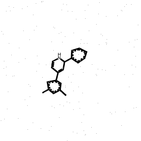 Cc1cc(C)cc(C2=CC(c3ccccc3)NC=C2)c1